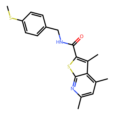 CSc1ccc(CNC(=O)c2sc3nc(C)cc(C)c3c2C)cc1